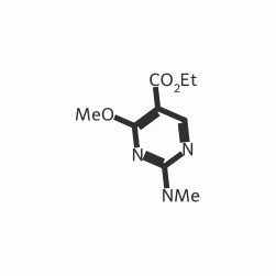 CCOC(=O)c1cnc(NC)nc1OC